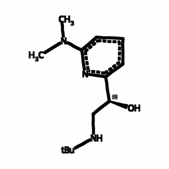 CN(C)c1cccc([C@@H](O)CNC(C)(C)C)n1